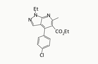 CCOC(=O)c1c(C)nc2c(cnn2CC)c1-c1ccc(Cl)cc1